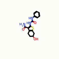 NC(=O)c1c(NC(=O)Nc2ccccc2)sc2c1CCC(O)C2